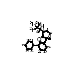 [2H]C([2H])([2H])C([2H])(C)c1ccnc2c1oc1c(-c3ccccc3)cccc12